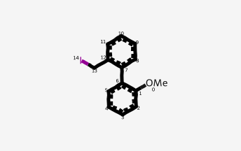 COc1ccccc1-c1ccccc1CI